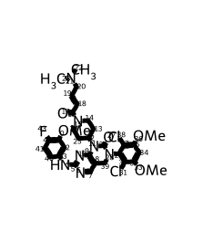 COc1cc(Nc2ncc3c(n2)N(C2CCN(C(=O)C=CCN(C)C)CC2)C(=O)N(c2c(Cl)c(OC)cc(OC)c2Cl)C3)ccc1F